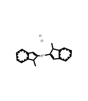 CC1[C]([Hf+2][C]2=Cc3ccccc3C2C)=Cc2ccccc21.[Cl-].[Cl-]